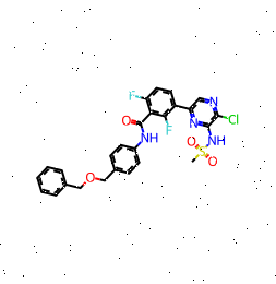 CS(=O)(=O)Nc1nc(-c2ccc(F)c(C(=O)Nc3ccc(COCc4ccccc4)cc3)c2F)cnc1Cl